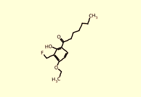 CCCCCCC(=O)c1ccc(OCC)c(CF)c1O